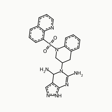 NC1=Nc2[nH]ncc2C(N)N1C1Cc2ccccc2N(S(=O)(=O)c2cccc3cccnc23)C1